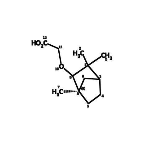 CC1(C)C2CC[C@](C)(C2)C1OCC(=O)O